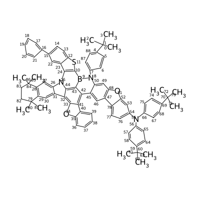 CC(C)(C)c1ccc(N2B3c4sc5ccc(-c6ccccc6)cc5c4-n4c5cc6c(cc5c5c7oc8ccccc8c7c(c3c54)-c3cc4c(cc32)oc2cc(N(c3ccc(C(C)(C)C)cc3)c3ccc(C(C)(C)C)cc3)ccc24)C(C)(C)CCC6(C)C)cc1